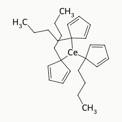 CCCC[C]1([Ce]([C]2(CCCC)C=CC=C2)[C]2(CCCC)C=CC=C2)C=CC=C1